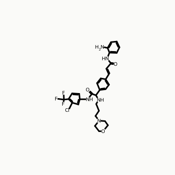 Nc1ccccc1NC(=O)/C=C/c1ccc(C(NCCCN2CCOCC2)C(=O)Nc2ccc(C(F)(F)F)c(Cl)c2)cc1